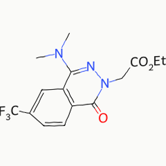 CCOC(=O)Cn1nc(N(C)C)c2cc(C(F)(F)F)ccc2c1=O